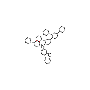 c1ccc(-c2ccc(N(c3ccc4c(c3)oc3ccccc34)c3ccc(-c4ccc(-c5ccccc5)cc4-c4ccccc4)cc3-c3ccccc3)cc2)cc1